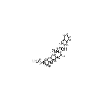 C[C@@H]1CN(CC(O)CN2CCc3ccccc3C2)C(=O)c2ccc(O[C@@H]3CCN(CCO)C[C@H]3F)cc2O1